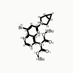 CC(C)(C)OC(=O)N(C(=O)OC(C)(C)C)c1ncnc2c(Br)cc(N3CC4CC4C3)nc12